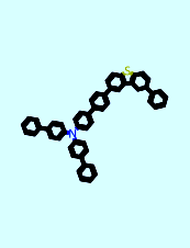 C1=CC(c2ccccc2)Cc2c1sc1ccc(-c3ccc(-c4ccc(N(c5ccc(-c6ccccc6)cc5)c5ccc(-c6ccccc6)cc5)cc4)cc3)cc21